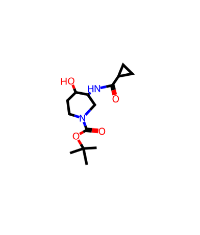 CC(C)(C)OC(=O)N1CCC(O)C(NC(=O)C2CC2)C1